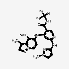 [2H]C([2H])([2H])NC(=O)c1cnc(Nc2ccn(C)n2)cc1Nc1ccn2ncc(C)c2c1OC